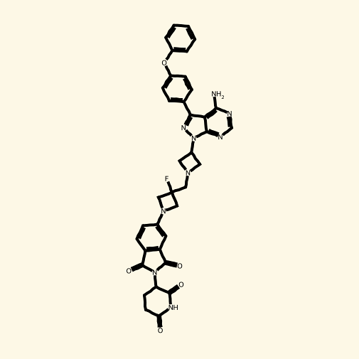 Nc1ncnc2c1c(-c1ccc(Oc3ccccc3)cc1)nn2C1CN(CC2(F)CN(c3ccc4c(c3)C(=O)N(C3CCC(=O)NC3=O)C4=O)C2)C1